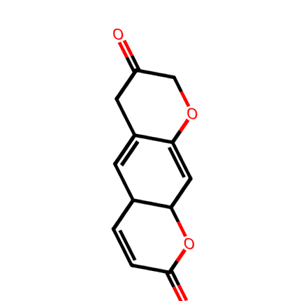 O=C1COC2=CC3OC(=O)C=CC3C=C2C1